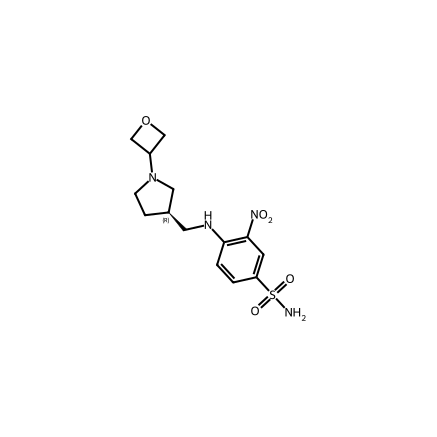 NS(=O)(=O)c1ccc(NC[C@H]2CCN(C3COC3)C2)c([N+](=O)[O-])c1